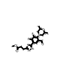 COC(=O)CCc1nnc(-c2cc(C=O)c(N3CC(C)OC(C)C3)c(F)c2F)s1